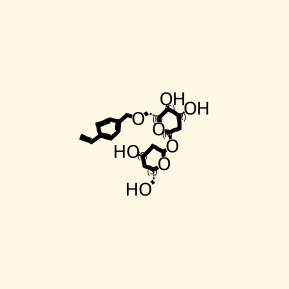 C=Cc1ccc(COC[C@H]2O[C@H](OC3C[C@@H](O)C[C@@H](CO)O3)C[C@@H](O)[C@@H]2O)cc1